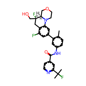 Cc1ccc(NC(=O)c2ccnc(C(C)(C)F)c2)cc1-c1cc(F)c2c(c1)N1CCOC[C@@H]1[C@@](F)(CO)C2